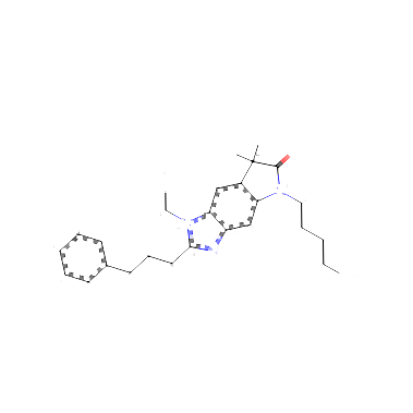 CCCCCN1C(=O)C(C)(C)c2cc3c(cc21)nc(CCCc1ccccc1)n3CC